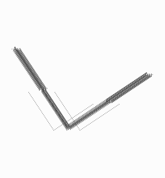 [Au].[Au].[Au].[Au].[Au].[Au].[Au].[Au].[Au].[Au].[Au].[Au].[Au].[Au].[Au].[Au].[Au].[Au].[Au].[Au].[Au].[Au].[Au].[Au].[Au].[Au].[Au].[Au].[Au].[Au].[Au].[Au].[Au].[Au].[Au].[Au].[Au].[Au].[Au].[Au].[Au].[Au].[Au].[Au].[Au].[Au].[Au].[Au].[Au].[Au].[Au].[Au].[Au].[Au].[Au].[Au].[Au].[Au].[Au].[Au].[Au].[Au].[In].[In].[In].[In].[In].[In].[In].[In].[In].[In].[In].[In].[In].[In].[In].[In].[In].[In].[In].[In].[In].[In].[In].[In].[In].[In].[In].[In].[In].[In].[In].[In].[In].[In].[In].[In].[In].[In].[In].[In].[In].[In].[In].[In].[In].[In].[In].[In].[In].[In].[In].[In].[In].[In].[In].[In].[In].[In].[In].[In]